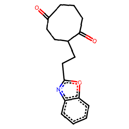 O=C1CCCC(=O)C(CCc2nc3ccccc3o2)CC1